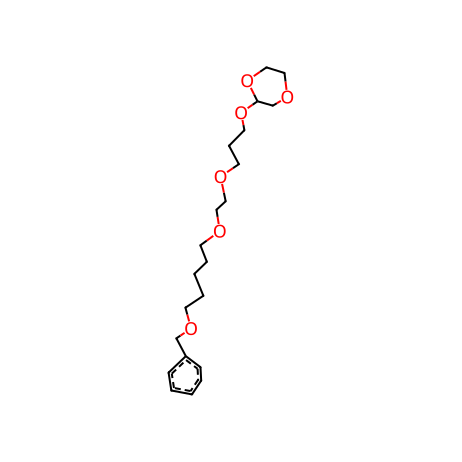 c1ccc(COCCCCCOCCOCCCOC2COCCO2)cc1